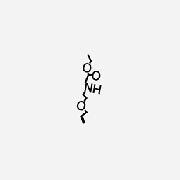 C=CCOCCNCC(=O)OCC